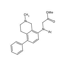 COC(=O)CN(C(C)=O)c1ccc(-c2ccccc2)c2c1CN(C)CC2